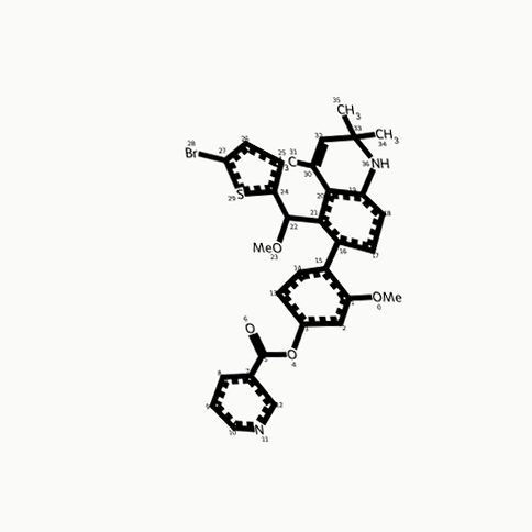 COc1cc(OC(=O)c2cccnc2)ccc1-c1ccc2c(c1C(OC)c1ccc(Br)s1)C(C)=CC(C)(C)N2